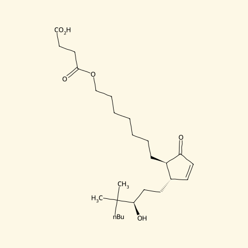 CCCCC(C)(C)[C@H](O)CC[C@H]1C=CC(=O)[C@@H]1CCCCCCCOC(=O)CCC(=O)O